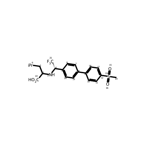 CC(C)CC(N[C@@H](c1ccc(-c2ccc(S(C)(=O)=O)cc2)cc1)C(F)(F)F)C(=O)O